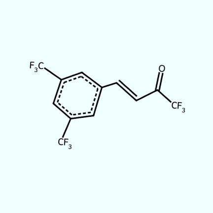 O=C(/C=C/c1cc(C(F)(F)F)cc(C(F)(F)F)c1)C(F)(F)F